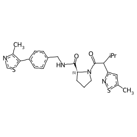 Cc1cc(C(C(=O)N2CCC[C@H]2C(=O)NCc2ccc(-c3scnc3C)cc2)C(C)C)ns1